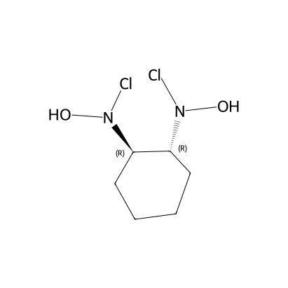 ON(Cl)[C@@H]1CCCC[C@H]1N(O)Cl